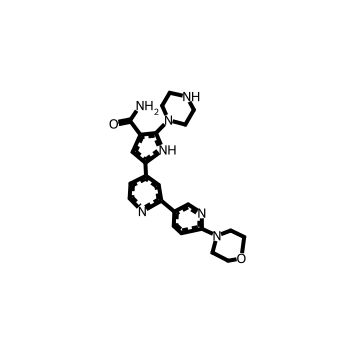 NC(=O)c1cc(-c2ccnc(-c3ccc(N4CCOCC4)nc3)c2)[nH]c1N1CCNCC1